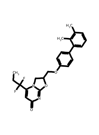 CCC(F)(F)c1cc(=O)nc2n1CC(COc1ccc(-c3cccc(C)c3C)cc1)O2